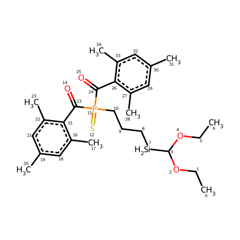 CCOC(OCC)[SiH2]CCCP(=S)(C(=O)c1c(C)cc(C)cc1C)C(=O)c1c(C)cc(C)cc1C